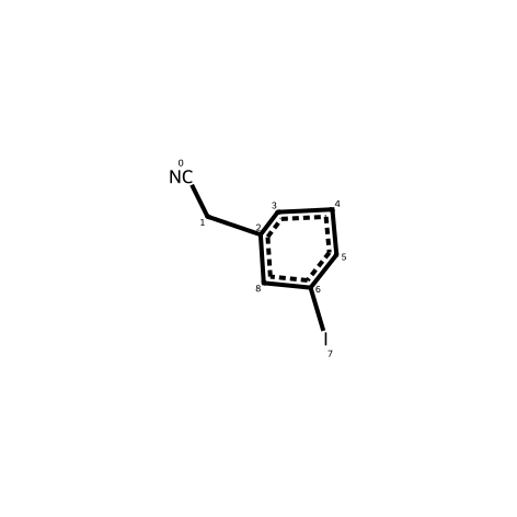 N#CCc1cccc(I)c1